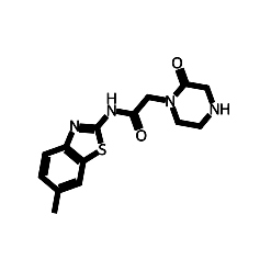 Cc1ccc2nc(NC(=O)CN3CCNCC3=O)sc2c1